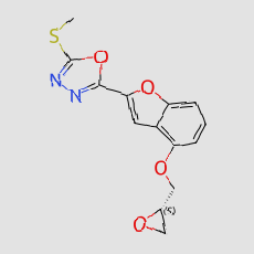 CSc1nnc(-c2cc3c(OC[C@@H]4CO4)cccc3o2)o1